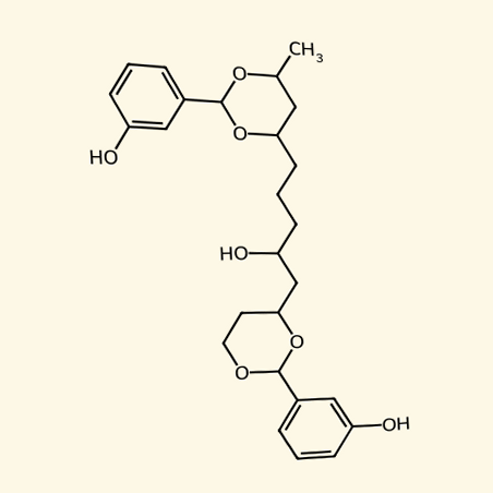 CC1CC(CCCC(O)CC2CCOC(c3cccc(O)c3)O2)OC(c2cccc(O)c2)O1